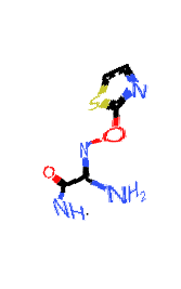 [NH]C(=O)C(N)=NOc1nccs1